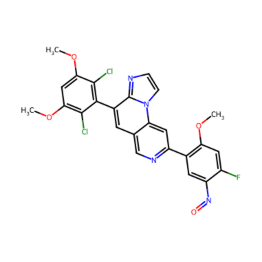 COc1cc(F)c(N=O)cc1-c1cc2c(cn1)cc(-c1c(Cl)c(OC)cc(OC)c1Cl)c1nccn12